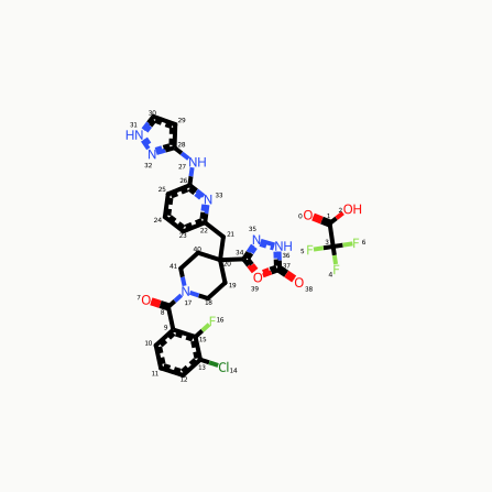 O=C(O)C(F)(F)F.O=C(c1cccc(Cl)c1F)N1CCC(Cc2cccc(Nc3cc[nH]n3)n2)(c2n[nH]c(=O)o2)CC1